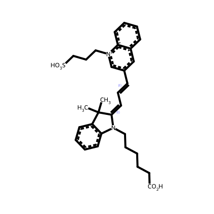 CC1(C)/C(=C\C=C\c2cc3ccccc3[n+](CCCS(=O)(=O)O)c2)N(CCCCCC(=O)O)c2ccccc21